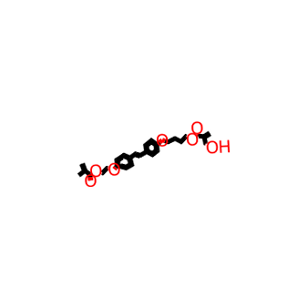 C=C(C)C(=O)OCCOc1ccc(/C=C/c2ccc(OCCCCOC(=O)C(=C)CO)cc2)cc1